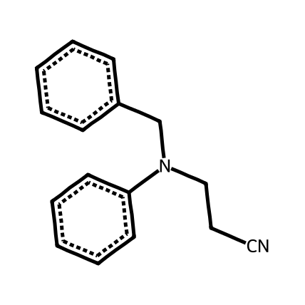 N#CCCN(Cc1ccccc1)c1ccccc1